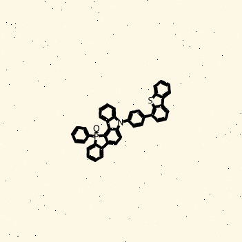 O=P1(c2ccccc2)c2ccccc2-c2ccc3c(c21)c1ccccc1n3-c1ccc(-c2cccc3c2sc2ccccc23)cc1